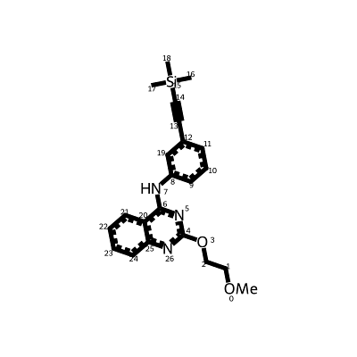 COCCOc1nc(Nc2cccc(C#C[Si](C)(C)C)c2)c2ccccc2n1